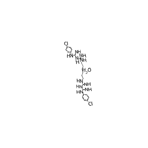 N=C(NCCCCCCNC(=N)NC(=N)Nc1ccc(Cl)cc1)NC(=N)Nc1ccc(Cl)cc1.O